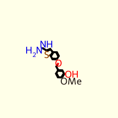 COc1ccc(COc2ccc3cc(C(=N)N)sc3c2)cc1O